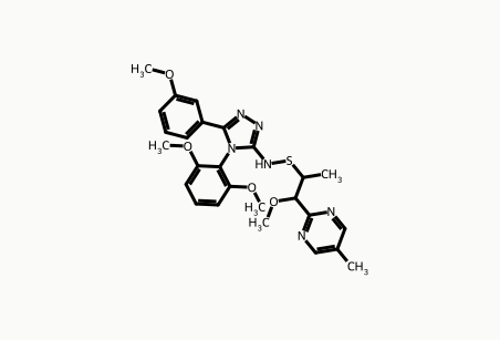 COc1cccc(-c2nnc(NSC(C)C(OC)c3ncc(C)cn3)n2-c2c(OC)cccc2OC)c1